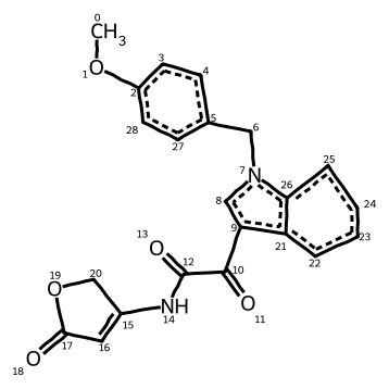 COc1ccc(Cn2cc(C(=O)C(=O)NC3=CC(=O)OC3)c3ccccc32)cc1